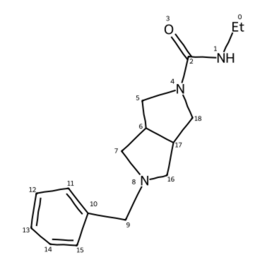 CCNC(=O)N1CC2CN(Cc3ccccc3)CC2C1